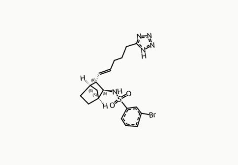 O=S(=O)(N[C@H]1[C@H]2CC[C@H](C2)[C@@H]1C=CCCCc1nnn[nH]1)c1cccc(Br)c1